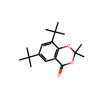 CC1(C)OC(=O)c2cc(C(C)(C)C)cc(C(C)(C)C)c2O1